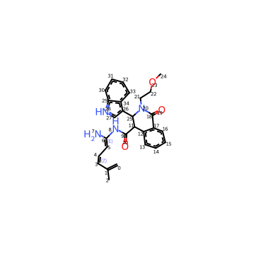 C=C(C)/C=C\C=C(/N)NC(=O)C1c2ccccc2C(=O)N(CCOC)C1c1c[nH]c2ccccc12